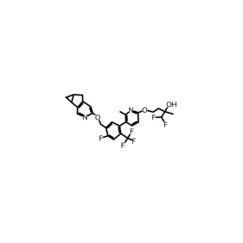 Cc1nc(OCCC(C)(O)C(F)F)ccc1-c1cc(COc2cc3c(cn2)C2CC2C3)c(F)cc1C(F)(F)F